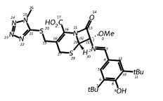 CO[C@@]1(N=Cc2cc(C(C)(C)C)c(O)c(C(C)(C)C)c2)C(=O)N2C(C(=O)O)=C(CSc3nnnn3C)CS[C@H]21